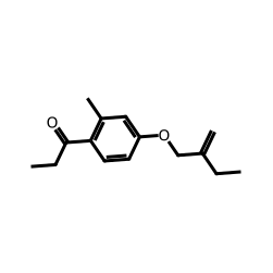 C=C(CC)COc1ccc(C(=O)CC)c(C)c1